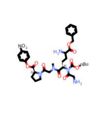 CCCCOC(=O)N(C(=O)CN)[C@@H](CCC(N)C(=O)OCc1ccccc1)C(=O)N(C)CC(=O)N1CCC[C@H]1C(=O)Oc1ccc([N+](=O)[O-])cc1